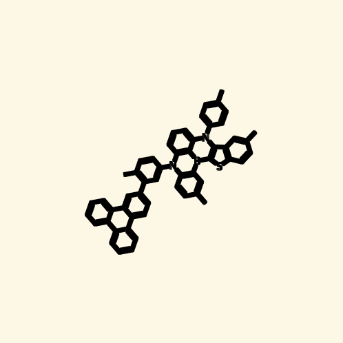 Cc1ccc(N2c3cccc4c3B(c3cc(C)ccc3N4c3ccc(C)c(-c4ccc5c6ccccc6c6ccccc6c5c4)c3)c3sc4ccc(C)cc4c32)cc1